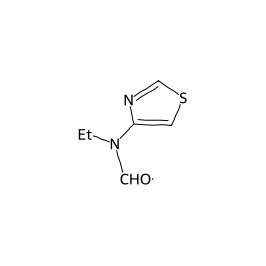 CCN([C]=O)c1cscn1